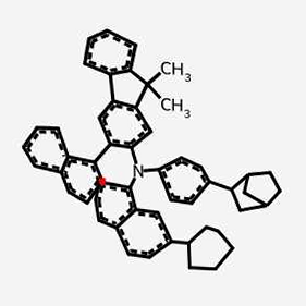 CC1(C)c2ccccc2-c2cc(-c3cccc4ccccc34)c(N(c3ccc(C4CC5CCC4C5)cc3)c3cccc4ccc(C5CCCCC5)cc34)cc21